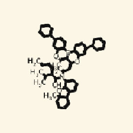 C=C/C=C\C(C(C)C)C(C)N(C(=C)/C=C1/Oc2cc(C3C=CC=CC3)ccc2B2C1=C(C)Oc1cc(-c3ccccc3)ccc12)c1cccc2c1OC1(C)C=CC=CC21